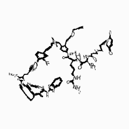 C#CCOCc1cc(NC(=O)[C@H](CCCNC(N)=O)NC(=O)[C@@H](NC(=O)CCOCCN2C(=O)C=CC2=O)C(C)C)ccc1C[N+](C)(C)CC#Cc1ccc(OCCCc2sc(N3CCCc4c3nnc(Nc3nc5ccccc5s3)c4C)nc2C(=O)O)c(F)c1